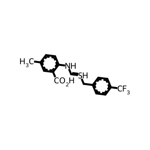 Cc1ccc(NC=[SH]Cc2ccc(C(F)(F)F)cc2)c(C(=O)O)c1